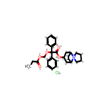 CCC(=O)OCOC(C(=O)OC1CC2CCC(C1)[N+]21CCCC1)(c1ccccc1)c1ccccc1.[Cl-]